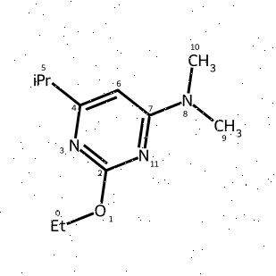 CCOc1nc(C(C)C)cc(N(C)C)n1